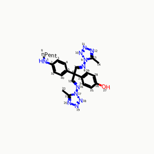 CCCCCNc1ccc(C(C=Nn2nnnc2C)(C=Nn2nnnc2C)c2ccc(O)cc2)cc1